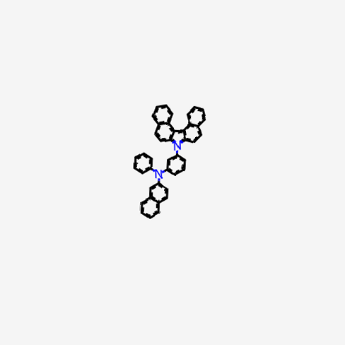 c1ccc(N(c2cccc(-n3c4ccc5ccccc5c4c4c5ccccc5ccc43)c2)c2ccc3ccccc3c2)cc1